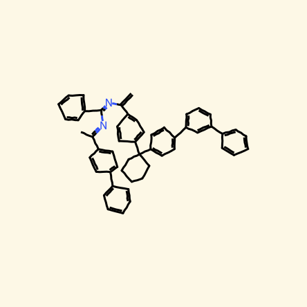 C=C(/N=C(\N=C(/C)c1ccc(-c2ccccc2)cc1)c1ccccc1)c1ccc(C2(c3ccc(-c4cccc(-c5ccccc5)c4)cc3)CCCCC2)cc1